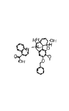 COc1c(OCc2ccccc2)cc2c3c1O[C@H]1[C@@H](O)C=C[C@H]4[C@@H](C2)N(C)CC[C@]341.O=C(O)c1ccnc2ccccc12